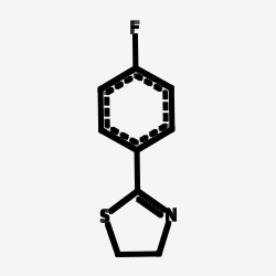 Fc1ccc(C2=NCCS2)cc1